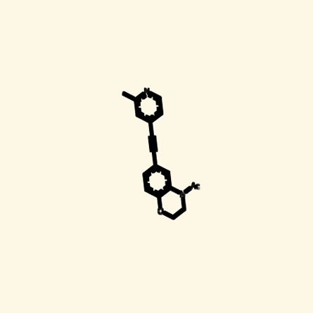 CC(=O)N1CCOc2ccc(C#Cc3ccnc(C)c3)cc21